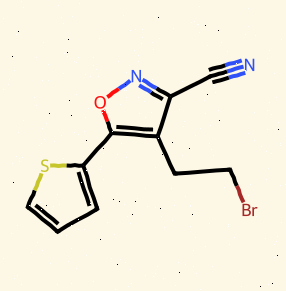 N#Cc1noc(-c2cccs2)c1CCBr